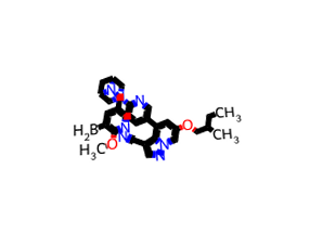 Bc1cc(CN2C3CC2CN(c2ccc(-c4cc(OCC(C)CC)cn5ncc(C#N)c45)cn2)C3)cnc1OC